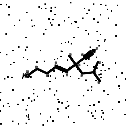 CC(C)CC(C)(C#N)N=NCCO